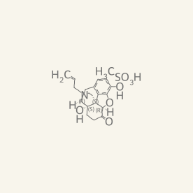 C=CCN1CC[C@]23c4c5ccc(O)c4O[C@H]2C(=O)CC[C@@]3(O)[C@H]1C5.CS(=O)(=O)O